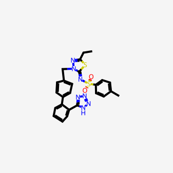 CCc1nn(Cc2ccc(-c3ccccc3-c3nnn[nH]3)cc2)c(=NS(=O)(=O)c2ccc(C)cc2)s1